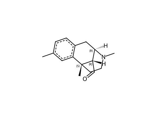 Cc1ccc2c(c1)[C@@]1(C)CCN(C)[C@H](C2)[C@@H]1C=O